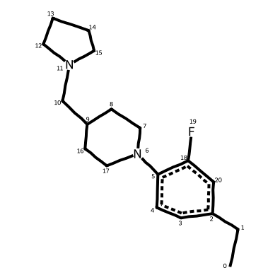 CCc1ccc(N2CCC(CN3CCCC3)CC2)c(F)c1